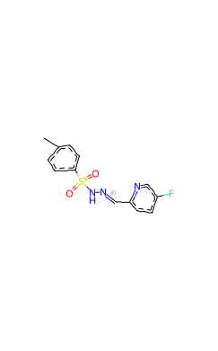 Cc1ccc(S(=O)(=O)N/N=C/c2ccc(F)cn2)cc1